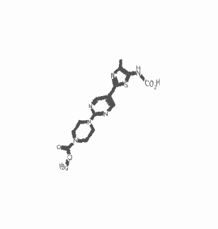 Cc1nc(-c2cnc(N3CCN(C(=O)OC(C)(C)C)CC3)nc2)sc1NC(=O)O